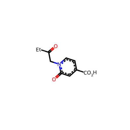 CCC(=O)Cn1ccc(C(=O)O)cc1=O